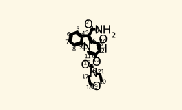 NC(=O)c1c2ccccc2n2cc(OC(=O)N3CCOCC3)cc(O)c12